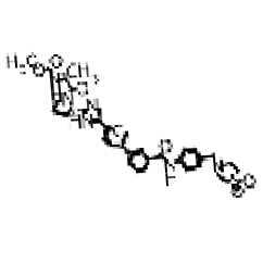 COC(=O)N[C@@H](C)C(=O)N1CCC[C@H]1c1ncc(-c2ccc(-c3cccc(C(=O)Nc4ccc(CN5CCS(=O)(=O)CC5)cc4)c3)cc2)[nH]1